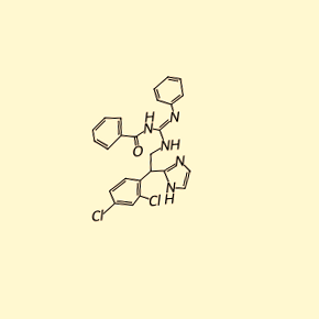 O=C(NC(=Nc1ccccc1)NCC(c1ncc[nH]1)c1ccc(Cl)cc1Cl)c1ccccc1